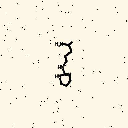 CC(N)CCCNC1=NCCCN1